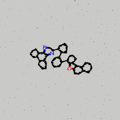 c1ccc(-c2ccccc2-c2cccc3c2oc2ccc4ccccc4c23)c(-c2cnc3c4ccccc4c4ccccc4c3n2)c1